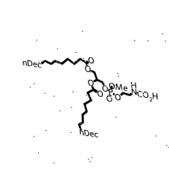 CCCCCCCCCCCCCCCCCC(=O)OCC(COP(=O)(OC)OCCNC(=O)O)OC(=O)CCCCCCCCCCCCCCCCC